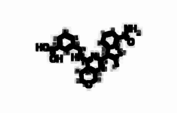 Cc1sc2c(C(N)=O)cccc2c1-c1nc2c(c(NCc3cccc(B(O)O)c3)n1)CCOC2